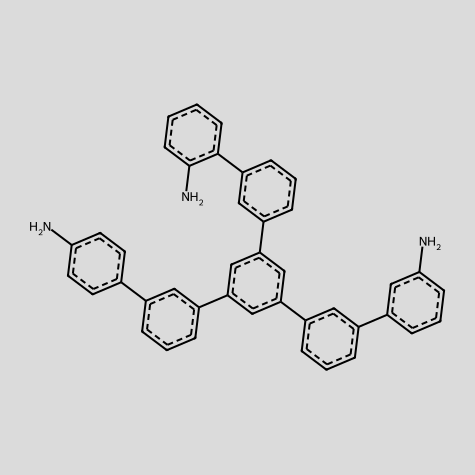 Nc1ccc(-c2cccc(-c3cc(-c4cccc(-c5cccc(N)c5)c4)cc(-c4cccc(-c5ccccc5N)c4)c3)c2)cc1